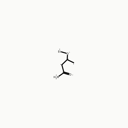 CCOC(C)CC(N)=O